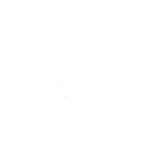 O=C1C[C@@H]2C(c3cc(I)n[nH]3)[C@@H]2C1